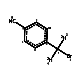 [2H]C([2H])(Br)c1ccc(C#N)cc1